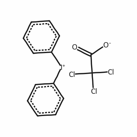 O=C([O-])C(Cl)(Cl)Cl.c1ccc([I+]c2ccccc2)cc1